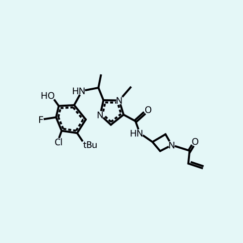 C=CC(=O)N1CC(NC(=O)c2cnc(C(C)Nc3cc(C(C)(C)C)c(Cl)c(F)c3O)n2C)C1